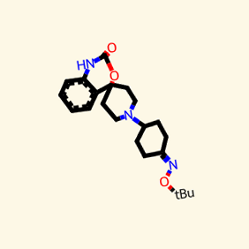 CC(C)(C)ON=C1CCC(N2CCC3(CC2)OC(=O)Nc2ccccc23)CC1